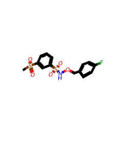 CS(=O)(=O)c1cccc(S(=O)(=O)NOCc2ccc(F)cc2)c1